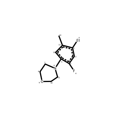 CCc1cc(F)c(N2CCOCC2)cc1C